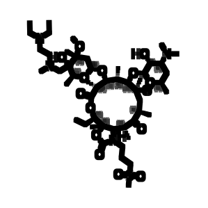 CC[C@H]1OC(=O)[C@H](C)[C@@H](O[C@H]2C[C@@](C)(OC)[C@@](O)(CN(C)CCN(CC)CC)[C@H](C)O2)[C@H](C)[C@@H](O[C@@H]2O[C@H](C)C[C@H](N(C)C)[C@H]2O)[C@@](C)(OC)C[C@@H](C)C(=O)[C@H](C)[C@H]2N(CCCS(C)(=O)=O)C(=O)O[C@]12C